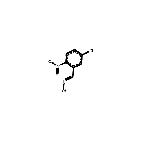 O=[N+]([O-])c1ccc(Cl)cc1/C=N/O